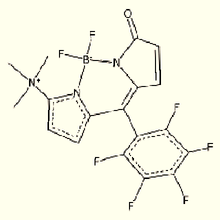 C[N+](C)(C)c1ccc2n1[B-](F)(F)N1C(=O)C=CC1=C2c1c(F)c(F)c(F)c(F)c1F